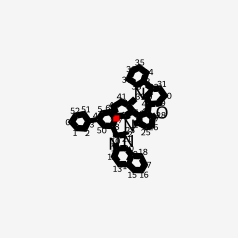 c1ccc(-c2cccc(-c3nc4ccc5ccccc5c4nc3-n3c4ccc5oc6ccc7c8ccccc8n8c9cccc3c9c4c5c6c78)c2)cc1